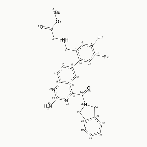 CC(C)(C)OC(=O)CNCc1cc(F)c(F)cc1-c1ccc2nc(N)nc(C(=O)N3Cc4ccccc4C3)c2c1